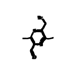 Cc1nc(CBr)c(C)nc1C=O